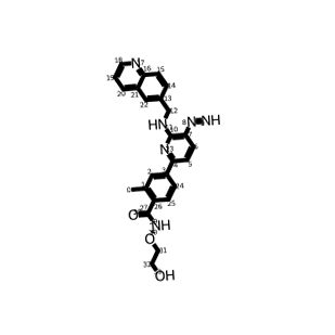 Cc1cc(-c2ccc(N=N)c(NCc3ccc4ncccc4c3)n2)ccc1C(=O)NOCCO